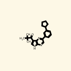 CC(C)(C)C(=O)c1c[nH]c2ncc(-c3cccc(C4CCCC4)c3)nc12